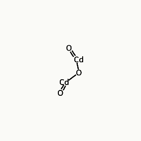 [O]=[Cd][O][Cd]=[O]